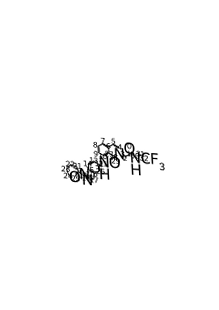 O=C(Cn1ccc2cccc(Nc3ccc4c(cnn4C4CCCCO4)c3)c2c1=O)NCC(F)(F)F